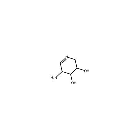 NC1C=NCC(O)C1O